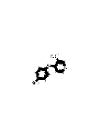 N#Cc1cnccc1Oc1ccc(Br)cc1